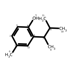 Cc1ccc(O)c(C(C)C(C)C)c1